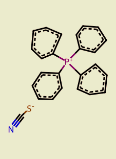 N#C[S-].c1ccc([P+](c2ccccc2)(c2ccccc2)c2ccccc2)cc1